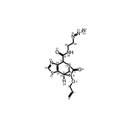 C=CCON1C(=O)N2C[C@H]1c1scnc1C2C(=O)NCCN=[N+]=[N-]